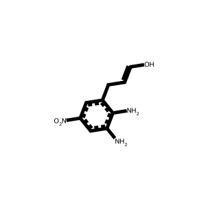 Nc1cc([N+](=O)[O-])cc(CC=CO)c1N